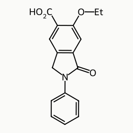 CCOc1cc2c(cc1C(=O)O)CN(c1ccccc1)C2=O